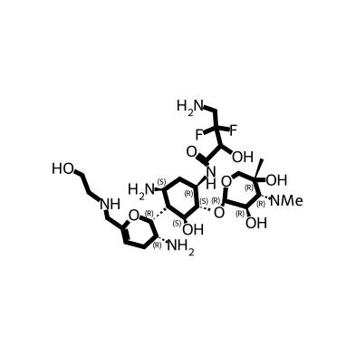 CN[C@@H]1[C@@H](O)[C@@H](O[C@H]2[C@H](NC(=O)C(O)C(F)(F)CN)C[C@H](N)C([C@H]3OC(CNCCO)=CC[C@H]3N)[C@@H]2O)OC[C@]1(C)O